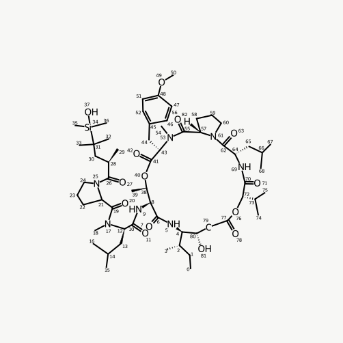 CC[C@H](C)[C@H]1NC(=O)[C@@H](NC(=O)[C@@H](CC(C)C)N(C)C(=O)C2CCCN2C(=O)[C@H](C)CC(C)(C)[Si](C)(C)O)[C@@H](C)OC(=O)[C@H](Cc2ccc(OC)cc2)N(C)C(=O)[C@@H]2CCCN2C(=O)[C@H](CC(C)C)NC(=O)[C@H](C(C)C)OC(=O)C[C@@H]1O